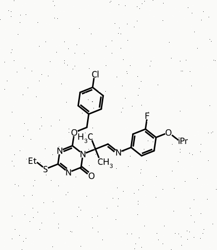 CCSc1nc(OCc2ccc(Cl)cc2)n(C(C)(C)C=Nc2ccc(OC(C)C)c(F)c2)c(=O)n1